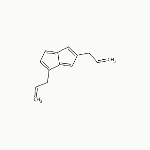 C=CCC1=CC2=CC=C(CC=C)C2=C1